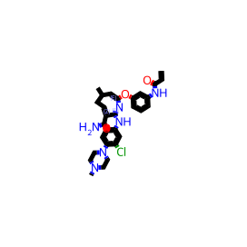 C=CC(=O)Nc1cccc(OC2=C/C(C)C/C=C(C(N)=O)/C(Nc3ccc(N4CCN(C)CC4)c(Cl)c3)=N\2)c1